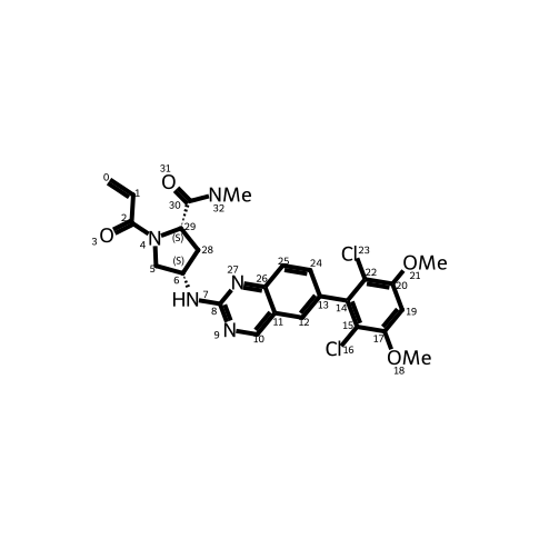 C=CC(=O)N1C[C@@H](Nc2ncc3cc(-c4c(Cl)c(OC)cc(OC)c4Cl)ccc3n2)C[C@H]1C(=O)NC